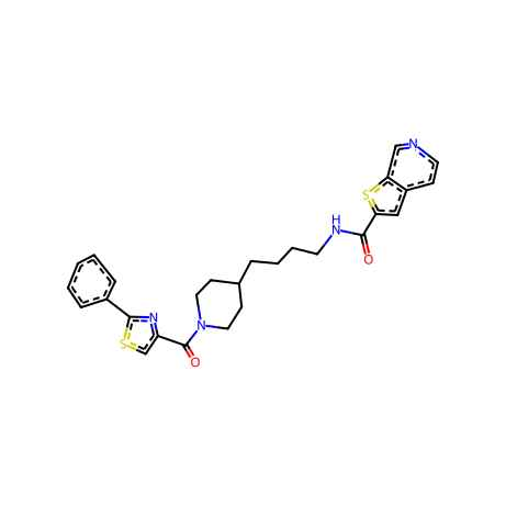 O=C(NCCCCC1CCN(C(=O)c2csc(-c3ccccc3)n2)CC1)c1cc2ccncc2s1